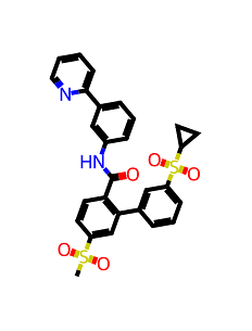 CS(=O)(=O)c1ccc(C(=O)Nc2cccc(-c3ccccn3)c2)c(-c2cccc(S(=O)(=O)C3CC3)c2)c1